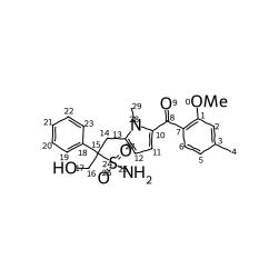 COc1cc(C)ccc1C(=O)c1ccc(CC(CO)(c2ccccc2)S(N)(=O)=O)n1C